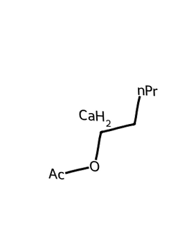 CCCCCOC(C)=O.[CaH2]